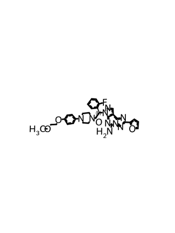 COCCOc1ccc(N2CCN(C(=O)[C@@H](c3ccccc3F)n3ncc4c3nc(N)n3nc(-c5ccco5)nc43)CC2)cc1